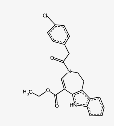 CCOC(=O)C1=CN(C(=O)Cc2ccc(Cl)cc2)CCc2c1[nH]c1ccccc21